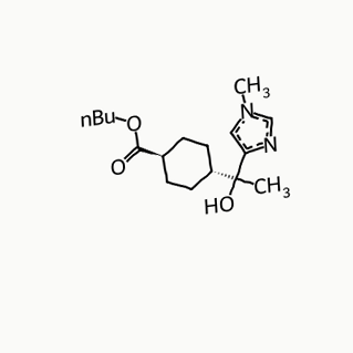 CCCCOC(=O)[C@H]1CC[C@H](C(C)(O)c2cn(C)cn2)CC1